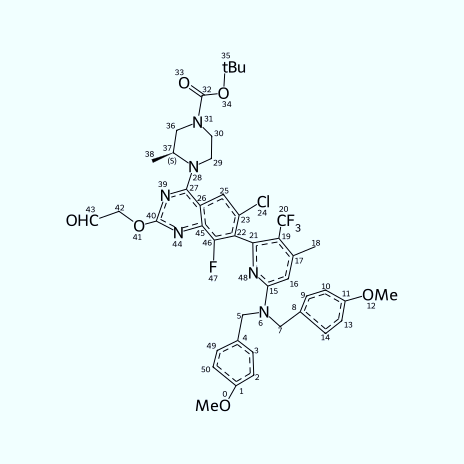 COc1ccc(CN(Cc2ccc(OC)cc2)c2cc(C)c(C(F)(F)F)c(-c3c(Cl)cc4c(N5CCN(C(=O)OC(C)(C)C)C[C@@H]5C)nc(OCC=O)nc4c3F)n2)cc1